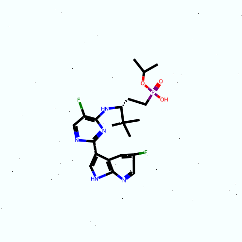 CC(C)OP(=O)(O)CC[C@@H](Nc1nc(-c2c[nH]c3ncc(F)cc23)ncc1F)C(C)(C)C